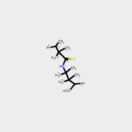 CCCCCCCCC(CCC)C(C)(C)C(C)(C)NC(=S)C(C)(C)C(C)C(C)C